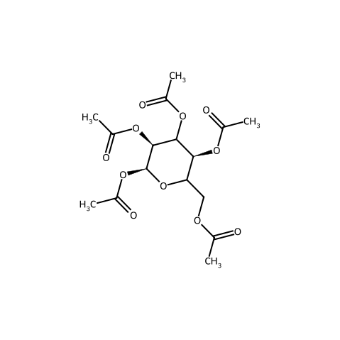 CC(=O)OCC1O[C@@H](OC(C)=O)[C@@H](OC(C)=O)C(OC(C)=O)[C@H]1OC(C)=O